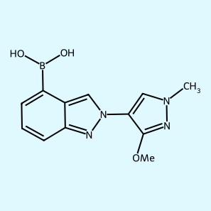 COc1nn(C)cc1-n1cc2c(B(O)O)cccc2n1